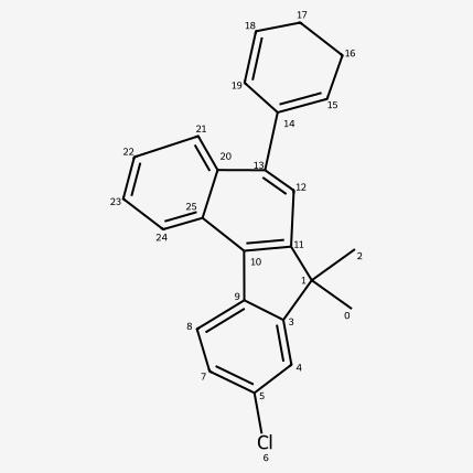 CC1(C)c2cc(Cl)ccc2-c2c1cc(C1=CCCC=C1)c1ccccc21